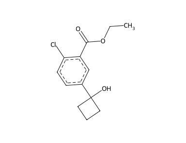 CCOC(=O)c1cc(C2(O)CCC2)ccc1Cl